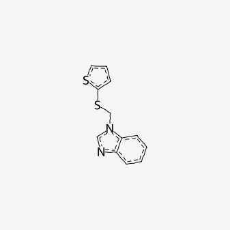 c1csc(SCn2cnc3ccccc32)c1